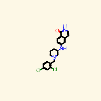 O=c1[nH]ccc2cc(N[C@@H]3CCCN(Cc4ccc(Cl)cc4Cl)C3)ccc12